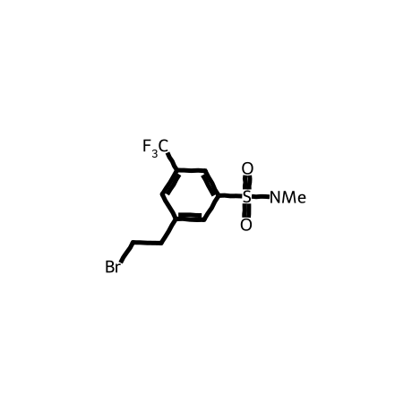 CNS(=O)(=O)c1cc(CCBr)cc(C(F)(F)F)c1